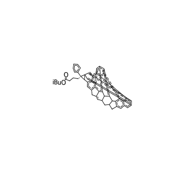 CC(C)COC(=O)CCC[C@@]1(c2ccccc2)C2c3cc4c5c6c7c8c9c%10c%11c%12c(cc%13cc%14c%15c(c%16c3c5c8c%16c%10c%15c%13%11)C21C=%14)CC1CC(C=C6C4)C7C=9C%121